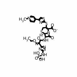 CCO/N=C(\C(=O)N[C@@H]1C(=O)N2C(C(=O)[O-])=C(Sc3nc(-c4cc[n+](C)cc4)cs3)CS[C@H]12)c1nsc(NP(=O)(O)O)n1